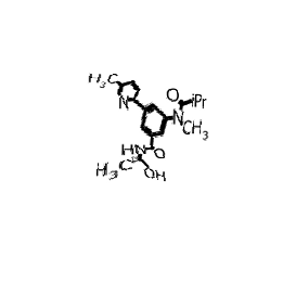 Cc1ccc(-c2cc(C(=O)N[C@@H](C)CO)cc(N(C)C(=O)C(C)C)c2)nc1